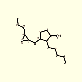 CCCCCC1C(O)CCC1CC1OC1OCC